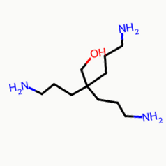 NCCCC(CO)(CCCN)CCCN